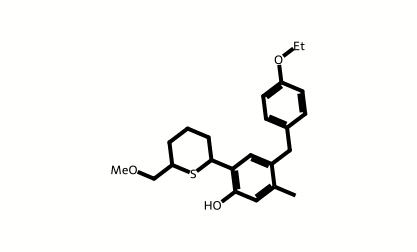 CCOc1ccc(Cc2cc(C3CCCC(COC)S3)c(O)cc2C)cc1